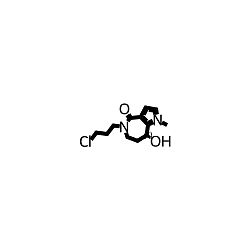 Cn1ccc2c1[C@@H](O)CCN(CCCCl)C2=O